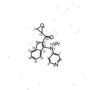 CCCN(c1ccncc1)c1c(C(=O)C2CO2)sc2ccccc12